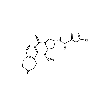 COC[C@@H]1C[C@@H](NC(=O)c2ccc(Cl)s2)CN1C(=O)c1ccc2c(c1)CCN(C)CC2